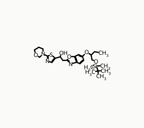 CCC(CO[Si](C)(C)C(C)(C)C)Oc1ccc2nc(CC(O)c3cnc(N4CCCOC4)s3)oc2c1